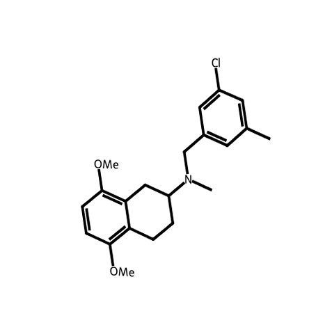 COc1ccc(OC)c2c1CCC(N(C)Cc1cc(C)cc(Cl)c1)C2